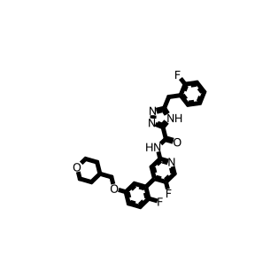 O=C(Nc1cc(-c2cc(OCC3CCOCC3)ccc2F)c(F)cn1)c1nnc(Cc2ccccc2F)[nH]1